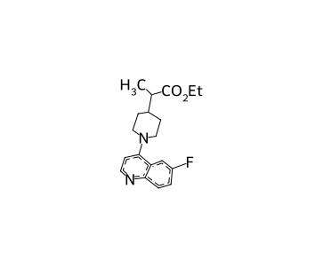 CCOC(=O)C(C)C1CCN(c2ccnc3ccc(F)cc23)CC1